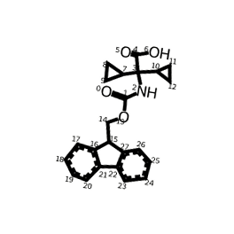 O=C(NC(C(=O)O)(C1CC1)C1CC1)OCC1c2ccccc2-c2ccccc21